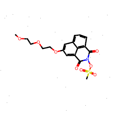 COCCOCCOc1cc2c3c(cccc3c1)C(=O)N(OS(C)(=O)=O)C2=O